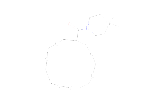 C[Si]1(C)CCN(C(=O)C2CCCCCCCCCCCCCC2)CC1